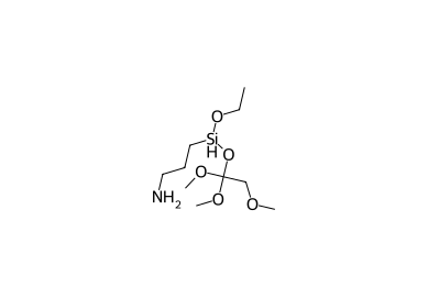 CCO[SiH](CCCN)OC(COC)(OC)OC